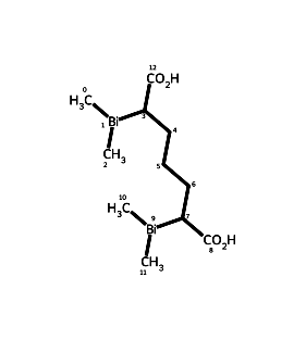 [CH3][Bi]([CH3])[CH](CCC[CH](C(=O)O)[Bi]([CH3])[CH3])C(=O)O